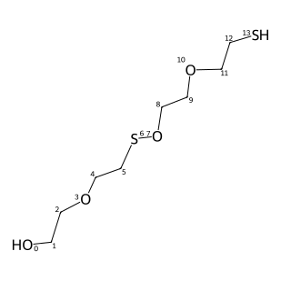 OCCOCCSOCCOCCS